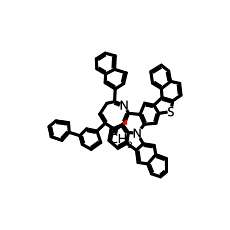 C=C1/C=C(c2cc3c(cc2-n2c4ccccc4c4cc5ccccc5cc42)sc2ccc4ccccc4c23)\N=C(\c2ccc3ccccc3c2)C/C=C\1c1cccc(-c2ccccc2)c1